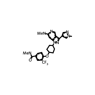 CNC(=O)c1ccc(OC2CCC(n3nc(-c4cnn(C)c4)c4cnc(NC)cc43)CC2)c(C(F)(F)F)c1